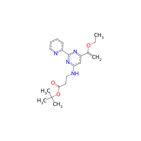 C=C(OCC)c1cc(NCCC(=O)OC(C)(C)C)nc(-c2ccccn2)n1